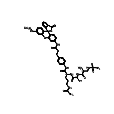 CCOC(=O)Nc1ccc2c(c1)Oc1cc(NC(=O)OCc3ccc(NC(=O)[C@H](CCCNC(N)=O)NC(=O)[C@@H](NC(=O)[C@@H](N)CNS(N)(=O)=O)C(C)C)cc3)ccc1C21OC(=O)c2ccccc21